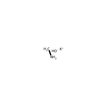 CN.[K+].[OH-]